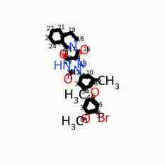 COc1ccc(Oc2c(C)cc(-n3nc(C(=O)N4CCC5CCCCC5C4)c(=O)[nH]c3=O)cc2C)cc1Br